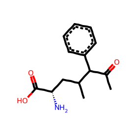 CC(=O)C(c1ccccc1)C(C)C[C@H](N)C(=O)O